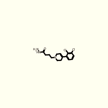 NNC(=O)CCCN1CC=C(c2cccc(Cl)c2Cl)CC1